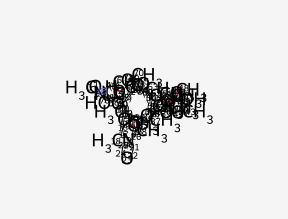 CO/N=C1\C[C@@H](C)O[C@@H](O[C@@H]2[C@@H](C)[C@H](O[C@H]3CC(C)N(C4CCOCC4)C[C@H](C)O3)[C@@H](C)C(=O)O[C@H]([C@@H](C)CO[C@@H]3O[C@H](C)[C@@H](O)[C@@H](OC)[C@H]3OC)[C@H](C)[C@@H](OC(=O)CC(C)C)[C@@H](C)C(=O)[C@@](C)(OC(C)=O)C[C@@H]2C)[C@@H]1O